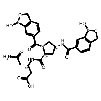 NC(=O)C[C@@H](CC(=O)O)NC(=O)[C@@H]1C[C@@H](NC(=O)c2ccc3c(c2)B(O)OC3)CN1C(=O)c1ccc2c(c1)B(O)OC2